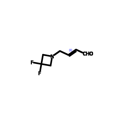 O=C/C=C/CN1CC(F)(F)C1